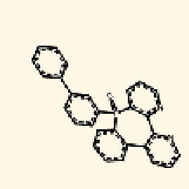 O=P1(c2cccc(-c3ccccc3)c2)c2ccccc2-c2cccnc2-c2ncccc21